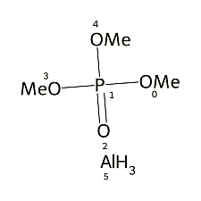 COP(=O)(OC)OC.[AlH3]